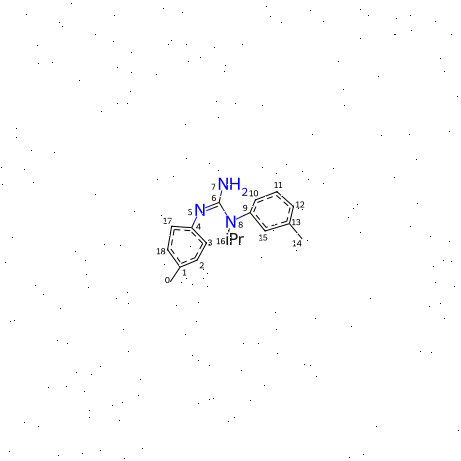 Cc1ccc(N=C(N)N(c2cccc(C)c2)C(C)C)cc1